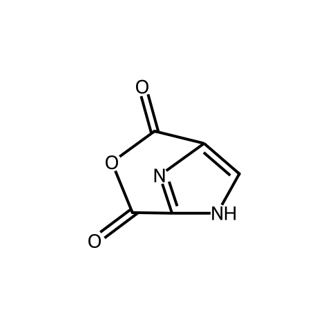 O=C1OC(=O)c2nc1c[nH]2